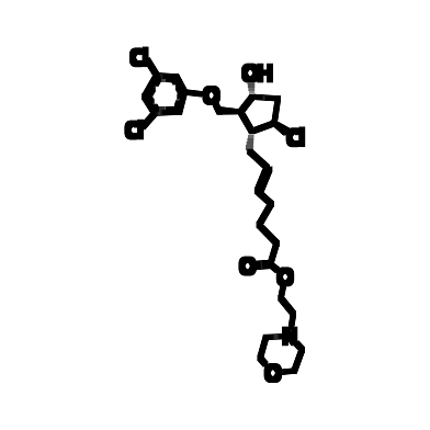 O=C(CCCC=CC[C@@H]1[C@@H](COc2cc(Cl)cc(Cl)c2)[C@H](O)C[C@H]1Cl)OCCN1CCOCC1